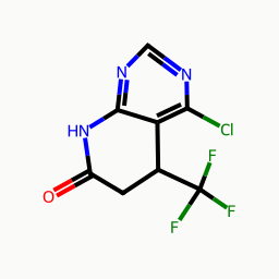 O=C1CC(C(F)(F)F)c2c(Cl)ncnc2N1